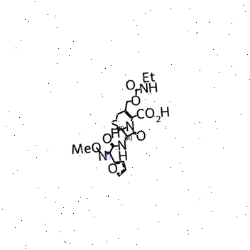 CCNC(=O)OCC1=C(C(=O)O)N2C(=O)[C@@H](NC(=O)/C(=N\OC)c3ccco3)[C@H]2SC1